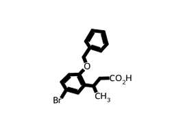 CC(CC(=O)O)c1cc(Br)ccc1OCc1ccccc1